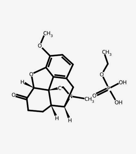 CCOP(=O)(O)O.COc1ccc2c3c1O[C@H]1C(=O)CC[C@H]4[C@@H](C2)N(C)CC[C@]314